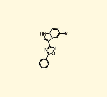 BrC1=CN2C(c3noc(-c4ccccc4)n3)=CNC2C=C1